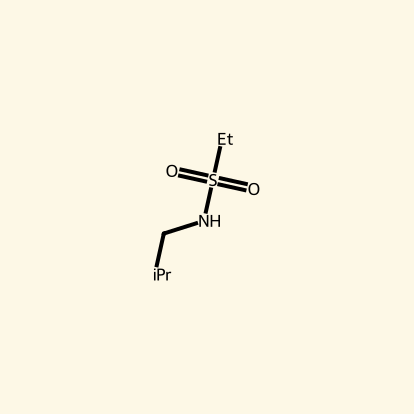 [CH2]C(C)CNS(=O)(=O)CC